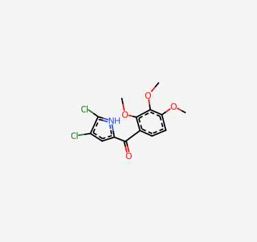 COc1ccc(C(=O)c2cc(Cl)c(Cl)[nH]2)c(OC)c1OC